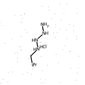 CC(C)CNNNN.Cl